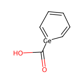 O=[C](O)[Ge]1=[CH]C=CC=[CH]1